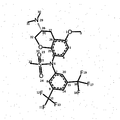 COc1ccc(N(c2cc(C(F)(F)F)cc(C(F)(F)F)c2)S(C)(=O)=O)c2c1C[C@@H](N(C)C)CO2